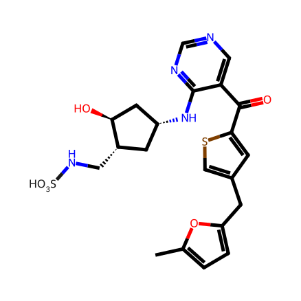 Cc1ccc(Cc2csc(C(=O)c3cncnc3N[C@@H]3C[C@H](CNS(=O)(=O)O)[C@@H](O)C3)c2)o1